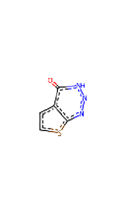 O=c1[nH]nnc2sccc12